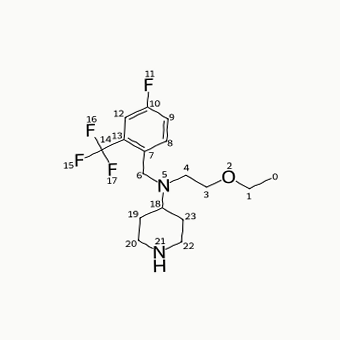 CCOCCN(Cc1ccc(F)cc1C(F)(F)F)C1CCNCC1